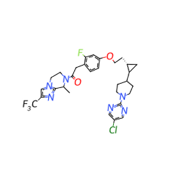 CC1c2nc(C(F)(F)F)cn2CCN1C(=O)Cc1ccc(OCC[C@@H]2CC2C2CCN(c3ncc(Cl)cn3)CC2)cc1F